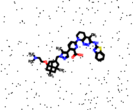 Cc1c(Nc2nc3ccccc3s2)nnc2c1CCCN2c1ccc(-c2cnn(CC34CC5(C)CC6(C)CC(OCCN(C)C)(C3)C56C4)c2C)c(C(=O)O)n1